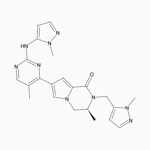 Cc1cnc(Nc2ccnn2C)nc1-c1cc2n(c1)C[C@H](C)N(Cc1ccnn1C)C2=O